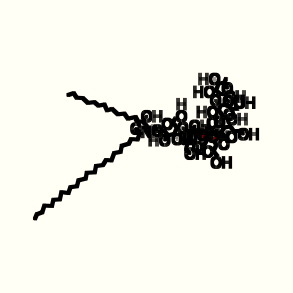 CCCCCCCCCCCCC/C=C/[C@@H](O)[C@H](CO[C@@H]1OC(CO)[C@@H](O[C@@H]2OC(CO)[C@H](O[C@@H]3OC(CO)[C@H](O[C@@H]4OC(CO)[C@H](O)[C@H](O[C@@H]5OC(CO)[C@H](O)[C@H](O[C@H]6C(O)[C@H](O)C(C)O[C@H]6O)C5O)C4NC(C)=O)[C@H](O)C3O)[C@H](O)C2O)[C@H](O)C1O)NC(=O)CCCCCCCCCCCCCCCCCCCCCCCCC